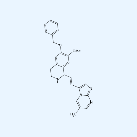 COc1cc2c(cc1OCc1ccccc1)CCNC2/C=C/c1cnc2ncc(C)cn12